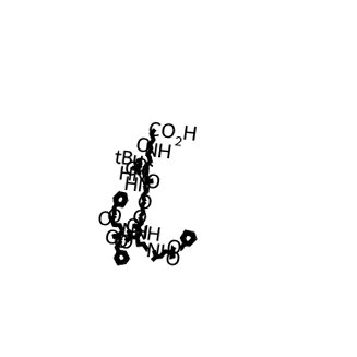 CC(CCC(=O)OCc1ccccc1)NCCCC(NC(=O)COCCOCCNC(=O)C(CCCCNC(=O)CCC(=O)O)NC(=O)OC(C)(C)C)C(=O)NC(CCC(=O)OCc1ccccc1)C(=O)OCc1ccccc1